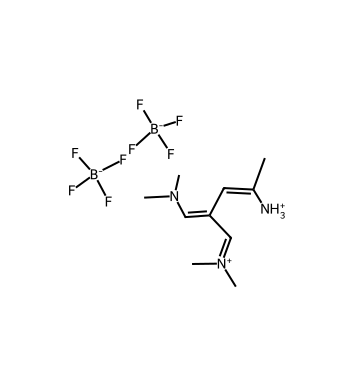 CC([NH3+])=CC(=CN(C)C)C=[N+](C)C.F[B-](F)(F)F.F[B-](F)(F)F